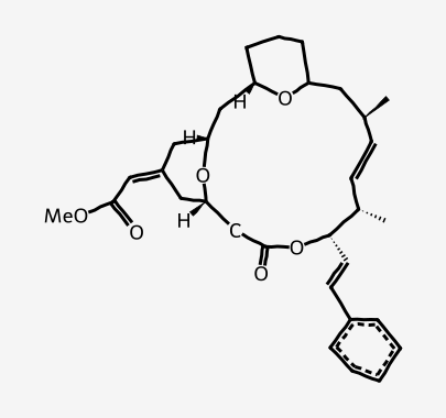 COC(=O)/C=C1\C[C@H]2CC(=O)O[C@@H](/C=C/c3ccccc3)[C@@H](C)/C=C/[C@H](C)CC3CCC[C@@H](C[C@@H](C1)O2)O3